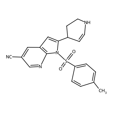 Cc1ccc(S(=O)(=O)n2c(C3C=CNCC3)cc3cc(C#N)cnc32)cc1